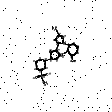 Cc1c(O)cccc1-n1nc(C(F)(F)F)cc1-c1ccc(-c2cccc(S(C)(=O)=O)c2)s1